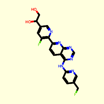 OCC(O)c1cnc(-c2ccc3c(Nc4ccc(CF)cn4)ncnc3n2)c(F)c1